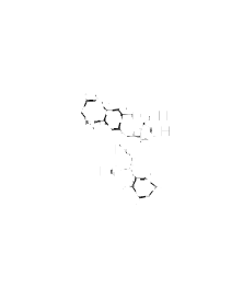 CC1(C)Oc2cc3nccnc3cc2[C@H](NCC(O)c2ccccc2)[C@H]1O